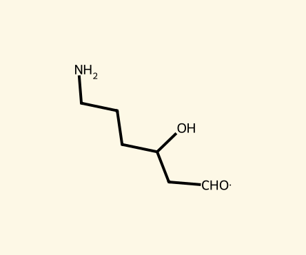 NCCCC(O)C[C]=O